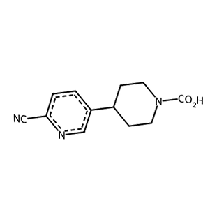 N#Cc1ccc(C2CCN(C(=O)O)CC2)cn1